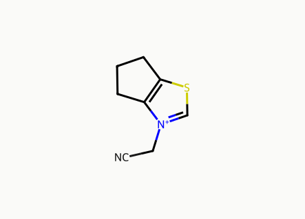 N#CC[n+]1csc2c1CCC2